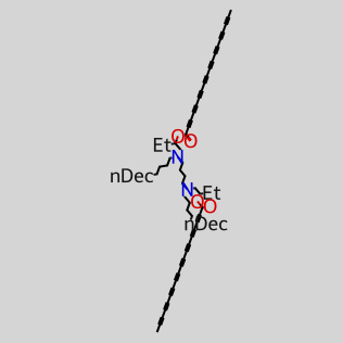 CC#CC#CC#CC#CC#CC#CC#CC#CC(=O)OC(CC)CN(CCCCCCCCCCCCCC)CCCCN(CCCCCCCCCCCCCC)CC(CC)OC(=O)C#CC#CC#CC#CC#CC#CC#CC#CC